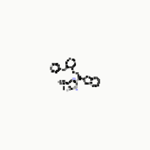 C=C/C=C(\C=C/C)N(CCC1CCCCN1Cc1ccccc1)C1Cc2ccccc2C1